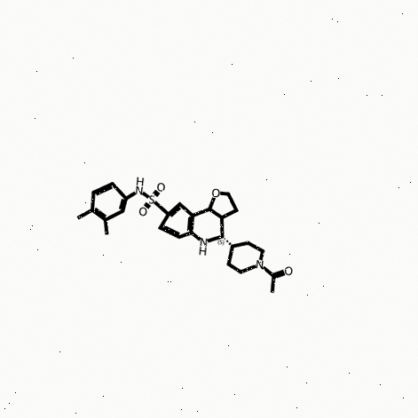 CC(=O)N1CCC([C@@H]2Nc3ccc(S(=O)(=O)Nc4ccc(C)c(C)c4)cc3C3OCCC32)CC1